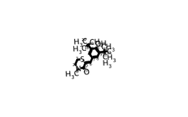 CN1CCSC(=Cc2cc(C(C)(C)C)c(O)c(C(C)(C)C)c2)C1=O